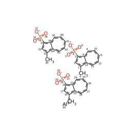 Cc1cc(S(=O)(=O)[O-])c2cccccc1-2.Cc1cc(S(=O)(=O)[O-])c2cccccc1-2.Cc1cc(S(=O)(=O)[O-])c2cccccc1-2.[Al+3]